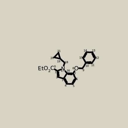 CCOC(=O)c1cc2cccc(OCc3ccccc3)c2n1CC1CC1